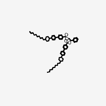 CCCCCCCCCCC1CCC(c2ccc(-c3ccc(C(=O)OCC(OC(=O)c4ccc(-c5ccc(C6CCC(CCCCCCCCCC)CC6)cc5)cc4)c4ccccc4)cc3)cc2)CC1